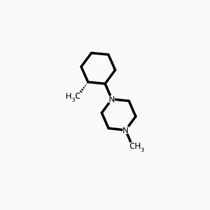 C[C@@H]1CCCCC1N1CCN(C)CC1